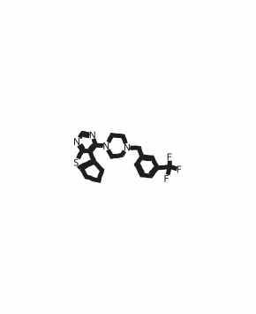 FC(F)(F)c1cccc(CN2CCN(c3ncnc4sc5c(c34)CCC5)CC2)c1